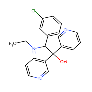 OC(c1cccnc1)(c1cccnc1)C(NCC(F)(F)F)c1cccc(Cl)c1